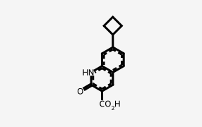 O=C(O)c1cc2ccc(C3CCC3)cc2[nH]c1=O